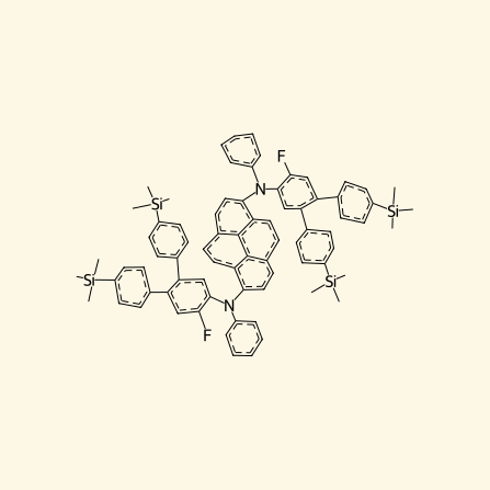 C[Si](C)(C)c1ccc(-c2cc(F)c(N(c3ccccc3)c3ccc4ccc5c(N(c6ccccc6)c6cc(-c7ccc([Si](C)(C)C)cc7)c(-c7ccc([Si](C)(C)C)cc7)cc6F)ccc6ccc3c4c65)cc2-c2ccc([Si](C)(C)C)cc2)cc1